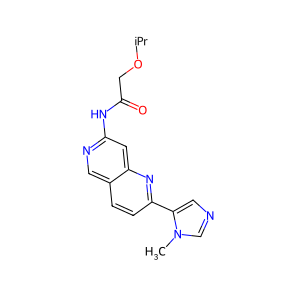 CC(C)OCC(=O)Nc1cc2nc(-c3cncn3C)ccc2cn1